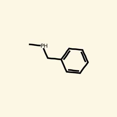 CPCc1ccccc1